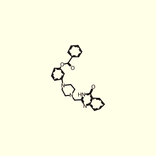 O=C(Oc1cccc(N2CCN(Cc3nc4ccccc4c(=O)[nH]3)CC2)c1)c1ccccc1